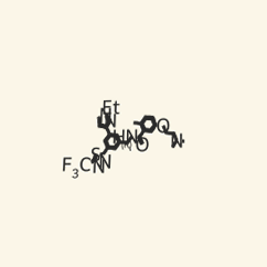 CCn1ccc(-c2cc(-c3nnc(C(F)(F)F)s3)cc([C@@H](C)NC(=O)c3cc(OCCN(C)C)ccc3C)c2)n1